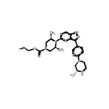 C[C@@H]1CN(c2ccc(-c3n[nH]c4cnc(N5[C@H](C)CN(C(=O)OCCF)C[C@@H]5C)nc34)cn2)CCN1